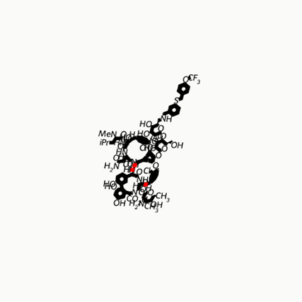 CN[C@H](CC(C)C)C(=O)N[C@H]1C(=O)N[C@@H](CC(N)=O)C(=O)N[C@H]2C(=O)N[C@H]3C(=O)N[C@H](C(=O)N[C@@H](C(=O)O)c4cc(O)cc(O)c4-c4cc3ccc4O)[C@H](OC3C[C@](C)(N)[C@@H](O)[C@H](C)O3)c3ccc(c(Cl)c3)Oc3cc2cc(c3O[C@@H]2O[C@H](CO)[C@@H](O[C@@H]3O[C@H](CNCc4cccc(SCc5ccc(OC(F)(F)F)cc5)c4)[C@H](O)[C@H](O)[C@H]3O)[C@H](O)[C@H]2O)Oc2ccc(cc2Cl)[C@H]1O